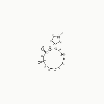 CN1CCC(C2CNCCCCCCC(=O)CC(=O)O2)C1